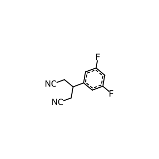 N#CCC(CC#N)c1cc(F)cc(F)c1